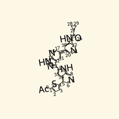 CC(=O)c1ccc(-c2cncc3[nH]c(-c4n[nH]c5ncc(-c6cncc(NC(=O)C7CC7)c6)cc45)cc23)s1